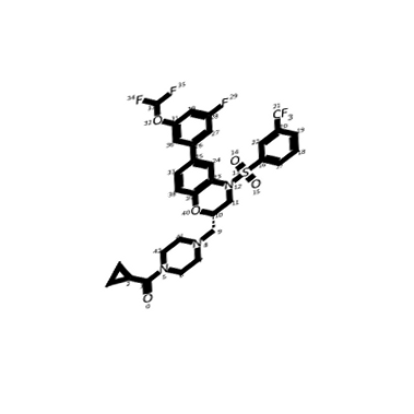 O=C(C1CC1)N1CCN(C[C@H]2CN(S(=O)(=O)c3cccc(C(F)(F)F)c3)c3cc(-c4cc(F)cc(OC(F)F)c4)ccc3O2)CC1